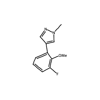 COc1c(F)cccc1-c1cnn(C)c1